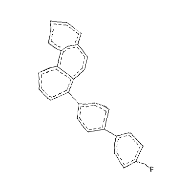 Fc1ccc(-c2ccc(-c3cccc4c3ccc3ccccc34)cc2)cc1